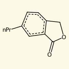 CCCc1ccc2c(c1)C(=O)OC2